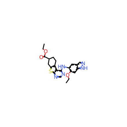 CCOC(=O)C1CCc2c(sc3ncnc(Nc4cc5cn[nH]c5cc4OCC)c23)C1